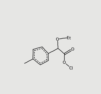 CCOC(C(=O)OCl)c1ccc(C)cc1